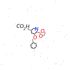 O=C(O)Cc1cnc(C2OCCO2)c(OCc2ccccc2)c1